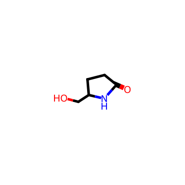 O=C1CCC(CO)N1